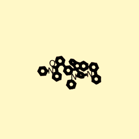 c1ccc(N2c3ccc(-c4cccc5oc6c(c7ccccc7n6-c6ccccc6)c45)cc3C3(c4ccccc4-c4ccccc43)c3cc(-n4c5ccccc5c5ccccc54)ccc32)cc1